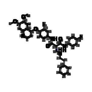 COc1cc2nccc(Oc3ccc(NC(=O)/C(=C/NCCc4ccccc4)C(=O)Nc4ccc(F)cc4)cc3F)c2cc1OC